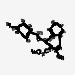 O=C(O)c1c(O)cc2ccccc2c1OCc1ccc(F)cc1